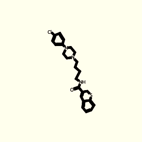 O=C(NCCCCN1CCN(c2ccc(Cl)cc2)CC1)C1=Cc2ccccc2SC1